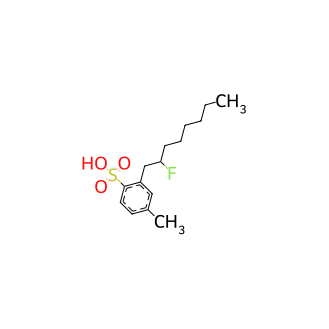 CCCCCCC(F)Cc1cc(C)ccc1S(=O)(=O)O